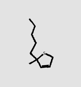 CCCCCC1(C)C=CCS1